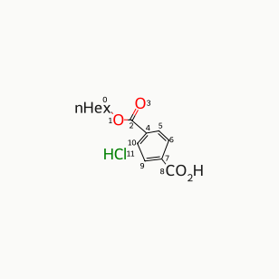 CCCCCCOC(=O)c1ccc(C(=O)O)cc1.Cl